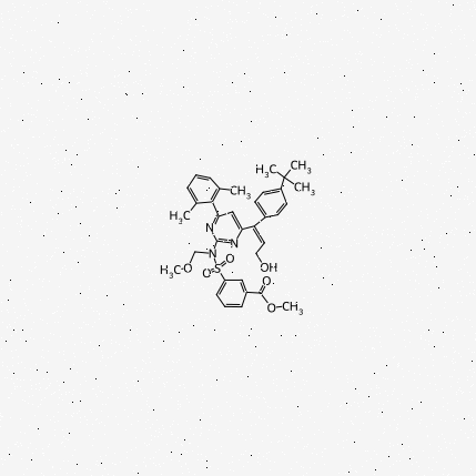 COCN(c1nc(/C(=C\CO)c2ccc(C(C)(C)C)cc2)cc(-c2c(C)cccc2C)n1)S(=O)(=O)c1cccc(C(=O)OC)c1